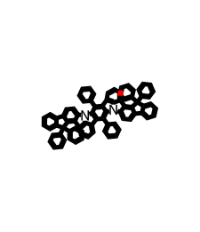 c1ccc(-c2c3c4cccc5c6c7c(ccc6n(c3c(-c3ccccc3)c3c6cccc8c9c%10c(ccc9n(c23)c86)-c2ccccc2C%10(c2ccccc2)c2ccccc2)c54)-c2ccccc2C7(c2ccccc2)c2ccccc2)cc1